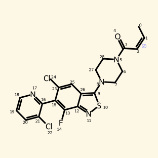 C/C=C\C(=O)N1CCN(c2snc3c(F)c(-c4ncccc4Cl)c(Cl)cc23)CC1